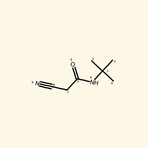 CC(C)(C)NC(=O)CC#N